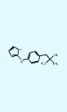 CC(N)(Cc1ccc(Nc2ncc[nH]2)cc1)C(=O)O